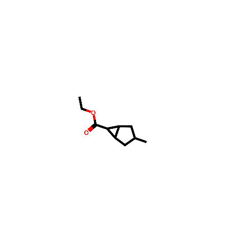 CCOC(=O)C1C2CC(C)CC21